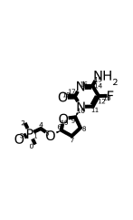 CP(C)(=O)CO[C@H]1CC[C@@H](n2cc(F)c(N)nc2=O)O1